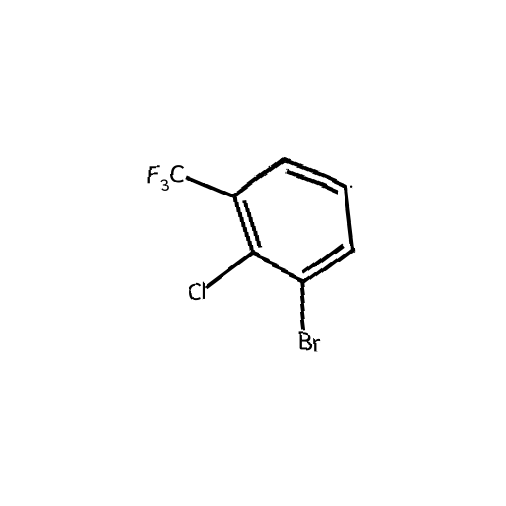 FC(F)(F)c1c[c]cc(Br)c1Cl